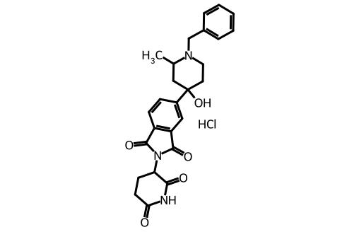 CC1CC(O)(c2ccc3c(c2)C(=O)N(C2CCC(=O)NC2=O)C3=O)CCN1Cc1ccccc1.Cl